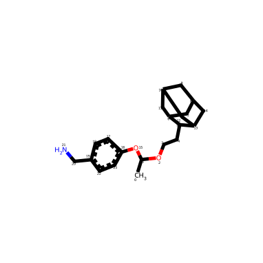 CC(OCCC1C2CC3CC(C2)CC1C3)Oc1ccc(CN)cc1